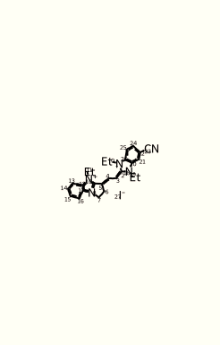 CCN1C(=CC=C2CCn3c2[n+](CC)c2ccccc23)N(CC)c2cc(C#N)ccc21.[I-]